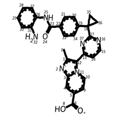 Cc1nc2cc(C(=O)O)ccn2c1-c1ccnc(C2(c3ccc(C(=O)Nc4ccccc4N)cc3)CC2)n1